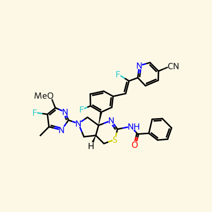 COc1nc(N2C[C@H]3CSC(NC(=O)c4ccccc4)=N[C@@]3(c3cc(/C=C(\F)c4ccc(C#N)cn4)ccc3F)C2)nc(C)c1F